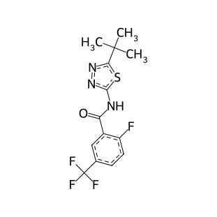 CC(C)(C)c1nnc(NC(=O)c2cc(C(F)(F)F)ccc2F)s1